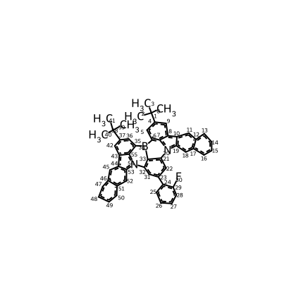 CC(C)(C)c1cc2c3c(c1)c1cc4ccccc4cc1n3-c1cc(-c3ccccc3F)cc3c1B2c1cc(C(C)(C)C)cc2c4cc5ccccc5cc4n-3c12